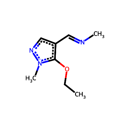 CCOc1c(C=NC)cnn1C